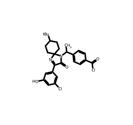 CC(c1ccc(C(=O)Cl)cc1)N1C(=O)C(c2cc(O)cc(Cl)c2)=NC12CCC(C(C)(C)C)CC2